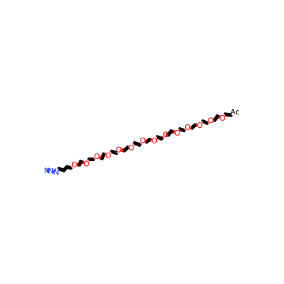 CC(=O)CCOCCOCCOCCOCCOCCOCCOCCOCCOCCOCCOCCOCCOCCOCCCCN=[N+]=[N-]